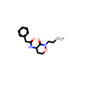 O=C(O)CCN1OCCC(NC(=O)Cc2ccccc2)C1=O